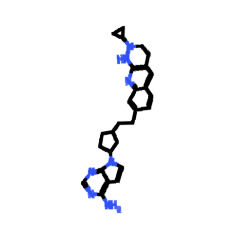 Nc1ncnc2c1ccn2C1CCC(CCc2ccc3cc4c(nc3c2)NN(C2CC2)CC4)C1